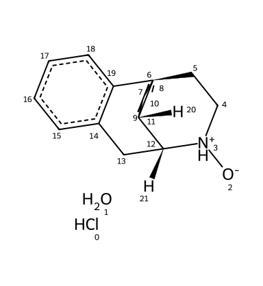 Cl.O.[O-][NH+]1CC[C@]23C=CCC[C@H]2[C@H]1Cc1ccccc13